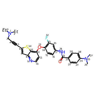 CCN(CC)CC#Cc1cc2nccc(Oc3ccc(NC(=O)c4ccc(N(C)C)cc4)cc3F)c2s1